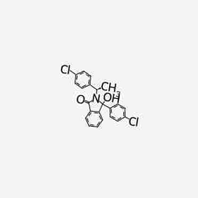 C[C@H](c1ccc(Cl)cc1)N1C(=O)c2ccccc2C1(O)c1ccc(Cl)cc1